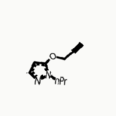 C#CCOc1c[c]nn1CCC